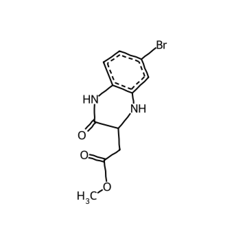 COC(=O)CC1Nc2cc(Br)ccc2NC1=O